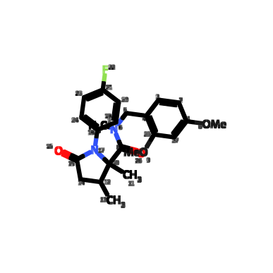 COc1ccc(CN(C)C(=O)C2(C)C(C)CC(=O)N2c2ccc(F)cc2)c(OC)c1